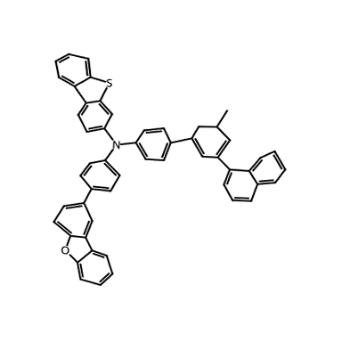 CC1C=C(c2cccc3ccccc23)C=C(c2ccc(N(c3ccc(-c4ccc5oc6ccccc6c5c4)cc3)c3ccc4c(c3)sc3ccccc34)cc2)C1